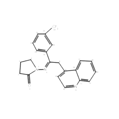 O=C1CCCN1N=C(Cc1ccnc2ccccc12)c1cccc(C(F)(F)F)c1